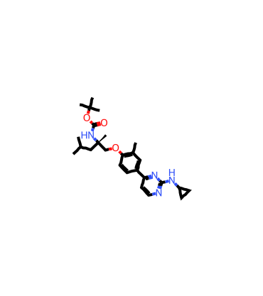 Cc1cc(-c2ccnc(NC3CC3)n2)ccc1OC[C@](C)(CC(C)C)NC(=O)OC(C)(C)C